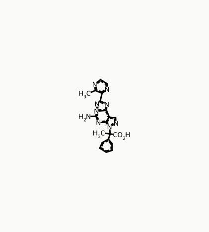 Cc1nccnc1-c1nc2c3cnn(C(C)(C(=O)O)c4ccccc4)c3nc(N)n2n1